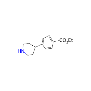 CCOC(=O)c1ccc(C2CCNCC2)cc1